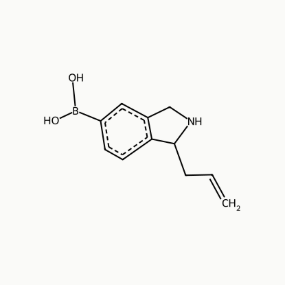 C=CCC1NCc2cc(B(O)O)ccc21